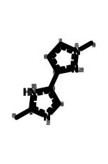 Cc1ncc(-c2[c]cn(C)n2)[nH]1